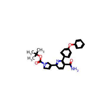 CC(C)(C)OC(=O)N1CC=C(c2ccc(C(N)=O)c(-c3ccc(Oc4ccccc4)cc3)n2)C1